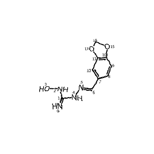 N=C(NO)NN=Cc1ccc2c(c1)OCO2